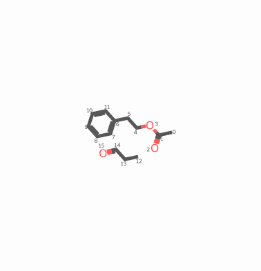 CC(=O)OCCc1ccccc1.CCC=O